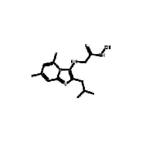 Cc1cc(C)n2c(NCC(=O)NO)c(CC(C)C)nc2c1